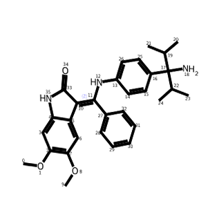 COc1cc2c(cc1OC)/C(=C(/Nc1ccc(C(N)(C(C)C)C(C)C)cc1)c1ccccc1)C(=O)N2